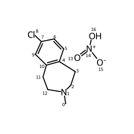 CN1CCc2ccc(Cl)cc2CC1.O=[N+]([O-])O